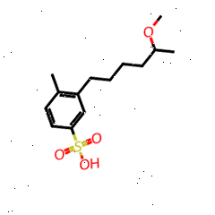 COC(C)CCCCc1cc(S(=O)(=O)O)ccc1C